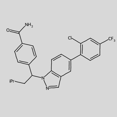 CC(C)CC(c1ccc(C(N)=O)cc1)n1ncc2cc(-c3ccc(C(F)(F)F)cc3Cl)ccc21